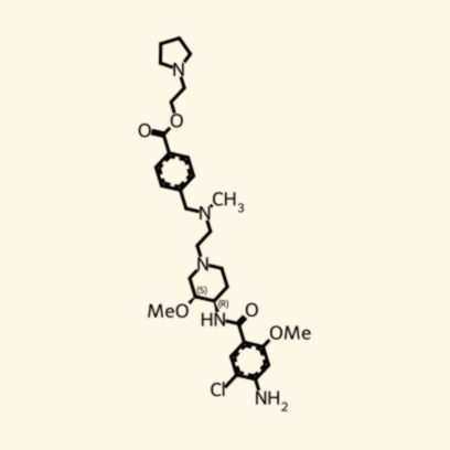 COc1cc(N)c(Cl)cc1C(=O)N[C@@H]1CCN(CCN(C)Cc2ccc(C(=O)OCCN3CCCC3)cc2)C[C@@H]1OC